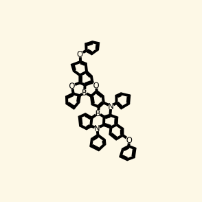 c1ccc(Oc2ccc3c4c5c(cc3c2)Oc2cc3c(cc2B5c2ccccc2O4)B2c4ccccc4N(c4ccccc4)c4c2c(cc2cc(Oc5ccccc5)ccc42)N3c2ccccc2)cc1